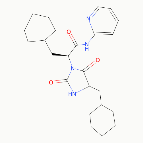 O=C(Nc1ccccn1)[C@H](CC1CCCCC1)N1C(=O)NC(CC2CCCCC2)C1=O